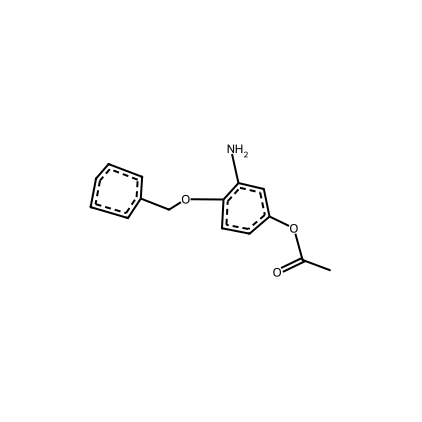 CC(=O)Oc1ccc(OCc2ccccc2)c(N)c1